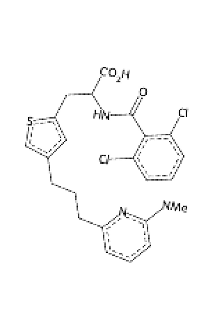 CNc1cccc(CCCc2csc(CC(NC(=O)c3c(Cl)cccc3Cl)C(=O)O)c2)n1